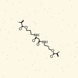 C=C(C)C(=O)OCCCNC(=O)CC(=O)NCCCOC(=O)C(=C)C